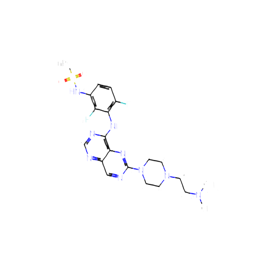 CCCS(=O)(=O)Nc1ccc(F)c(Nc2ncnc3cnc(N4CCN(CCN(C)C)CC4)nc23)c1F